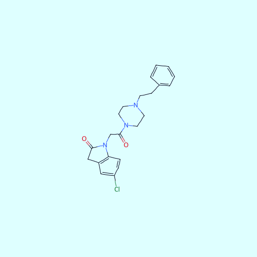 O=C(CN1C(=O)Cc2cc(Cl)ccc21)N1CCN(CCc2ccccc2)CC1